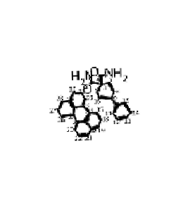 NC(=O)C1(C(N)=O)C=CC(c2ccccc2)=CC1.c1cc2cccc3c4cccc5cccc(c(c1)c23)c54